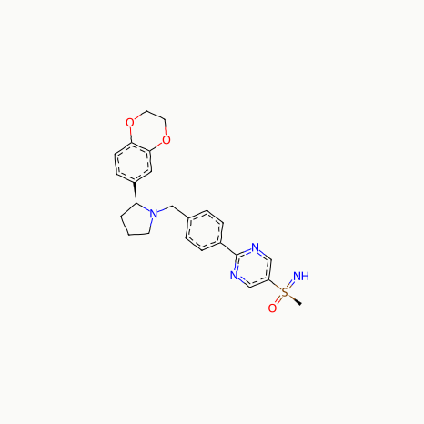 C[S@@](=N)(=O)c1cnc(-c2ccc(CN3CCC[C@H]3c3ccc4c(c3)OCCO4)cc2)nc1